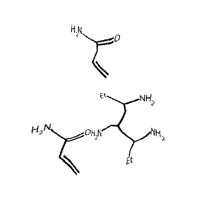 C=CC(N)=O.C=CC(N)=O.CCC(N)C(N)C(N)CC